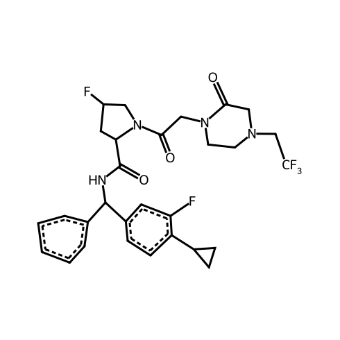 O=C(NC(c1ccccc1)c1ccc(C2CC2)c(F)c1)C1CC(F)CN1C(=O)CN1CCN(CC(F)(F)F)CC1=O